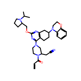 C=CC(=O)N1CCN(c2nc(OCC3CCCN3C(C)C)nc3c2CCC(N2CCOc4ccccc42)C3)CC1CC#N